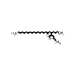 CCCCCCCCCCCCCCCCCC[C](CCCC)C(CCCC)C(=O)O